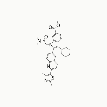 COC(=O)c1ccc2c(C3CCCCC3)c(-c3ccc4nc(-c5sc(C)nc5C)ccc4c3)n(CC(=O)N(C)C)c2c1